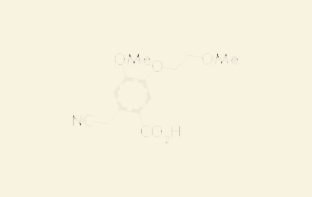 COCCOc1cc(C(=O)O)c(CC#N)cc1OC